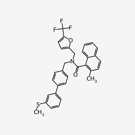 CSc1cccc(-c2ccc(CN(Cc3ccc(C(F)(F)F)o3)C(=O)c3c(C)ccc4ccccc34)cc2)c1